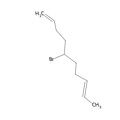 C=CCCC(Br)CCC=CC